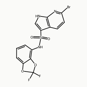 O=S(=O)(Nc1cccc2c1OC(F)(F)O2)c1c[nH]c2nc(Br)ccc12